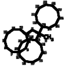 CC(CC1CCCCCCCCC1)(C1CCCCCCCCC1)C1CCCCCCCCC1